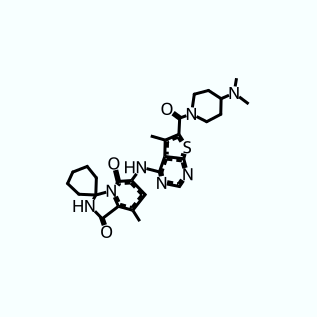 Cc1cc(Nc2ncnc3sc(C(=O)N4CCC(N(C)C)CC4)c(C)c23)c(=O)n2c1C(=O)NC21CCCCC1